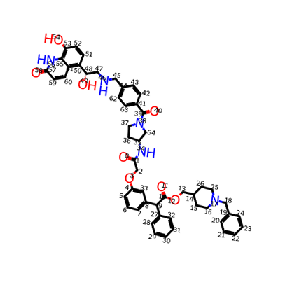 O=C(COc1cccc(C(C(=O)OCC2CCN(Cc3ccccc3)CC2)c2ccccc2)c1)N[C@@H]1CCN(C(=O)c2ccc(CNC[C@H](O)c3ccc(O)c4[nH]c(=O)ccc34)cc2)C1